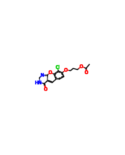 CC(=O)OCCCOc1ccc2c(c1Cl)OC1=NCNC(=O)C1=C2